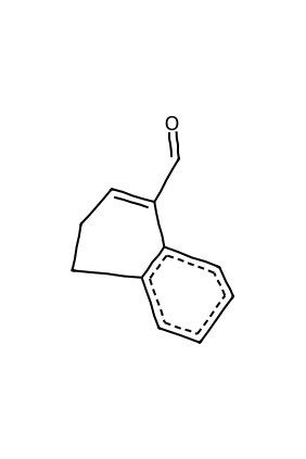 O=CC1=CCCc2ccccc21